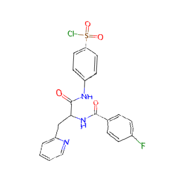 O=C(NC(Cc1ccccn1)C(=O)Nc1ccc(S(=O)(=O)Cl)cc1)c1ccc(F)cc1